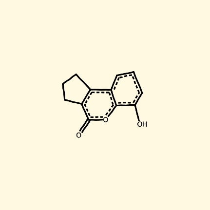 O=c1oc2c(O)cccc2c2c1CCC2